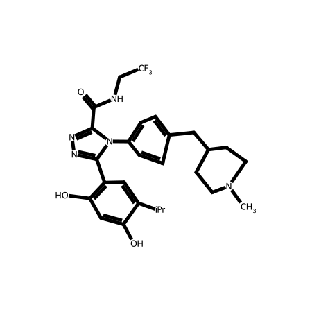 CC(C)c1cc(-c2nnc(C(=O)NCC(F)(F)F)n2-c2ccc(CC3CCN(C)CC3)cc2)c(O)cc1O